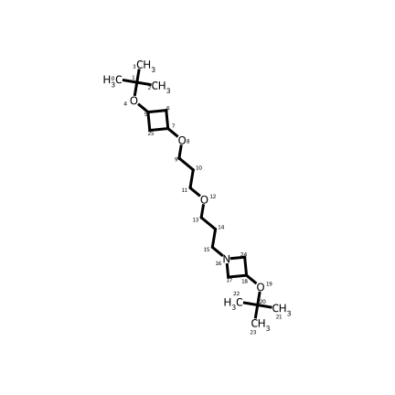 CC(C)(C)OC1CC(OCCCOCCCN2CC(OC(C)(C)C)C2)C1